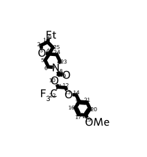 CCC1COC2(CCN(C(=O)O[C@H](COCc3ccc(OC)cc3)C(F)(F)F)CC2)C1